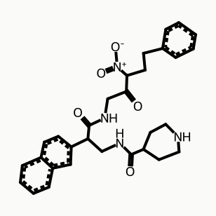 O=C(NCC(C(=O)NCC(=O)C(CCc1ccccc1)[N+](=O)[O-])c1ccc2ccccc2c1)C1CCNCC1